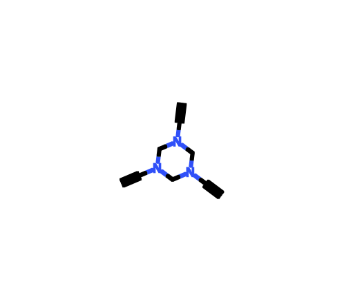 C#CN1CN(C#C)CN(C#C)C1